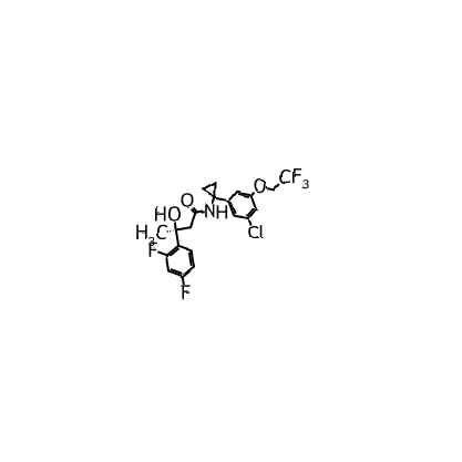 C[C@](O)(CC(=O)NC1(c2cc(Cl)cc(OCC(F)(F)F)c2)CC1)c1ccc(F)cc1F